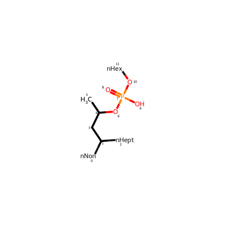 CCCCCCCCCC(CCCCCCC)CC(C)OP(=O)(O)OCCCCCC